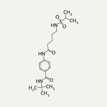 CC(C)S(=O)(=O)NCCCCC(=O)Nc1ccc(C(=O)NC(C)(C)C)cc1